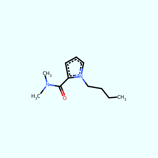 CCCCn1cccc1C(=O)N(C)C